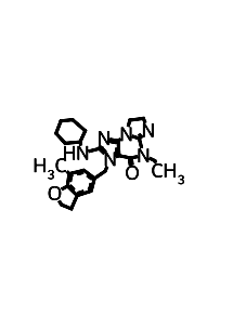 CCN1C(=O)c2c(nc(NC3CCCCC3)n2Cc2cc(C)c3c(c2)CCO3)N2CCN=C12